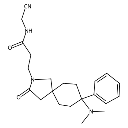 CN(C)C1(c2ccccc2)CCC2(CC1)CC(=O)N(CCC(=O)NCC#N)C2